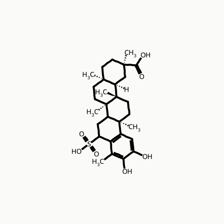 Cc1c(O)c(O)cc2c1C(S(=O)(=O)O)CC1[C@@]2(C)CC[C@@]2(C)[C@@H]3C[C@](C)(C(=O)O)CC[C@]3(C)CC[C@]12C